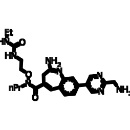 CCCN(OCCNC(=O)NCC)C(=O)C1=Cc2ccc(-c3cnc(CN)nc3)cc2N=C(N)C1